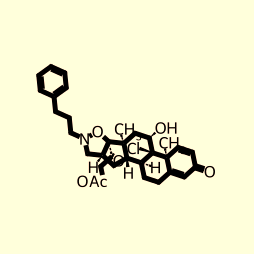 CC(=O)OCC(=O)[C@@]12ON(CCCc3ccccc3)C[C@@H]1C[C@H]1[C@@H]3CCC4=CC(=O)C=C[C@]4(C)[C@@]3(Cl)[C@@H](O)C[C@@]12C